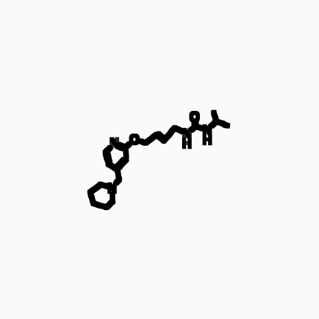 CC(C)NC(=O)NCC=CCOc1cc(CN2CCCCC2)ccn1